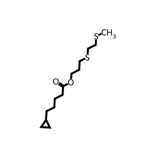 CSCCSCCCOC(=O)CCCCC1CC1